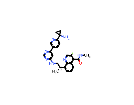 CNC(=O)c1c(F)cnc2c([C@H](C)CNc3cc(-c4ccc(C5(N)CC5)nc4)ncn3)cccc12